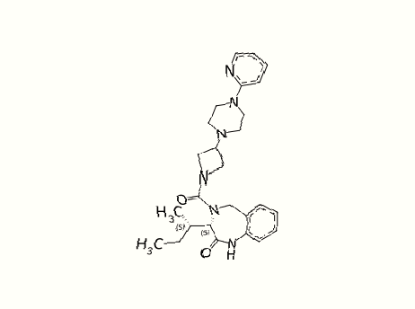 CC[C@H](C)[C@H]1C(=O)Nc2ccccc2CN1C(=O)N1CC(N2CCN(c3ccccn3)CC2)C1